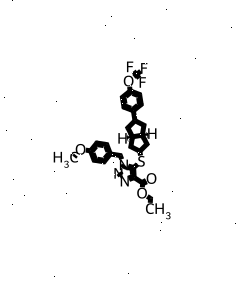 CCOC(=O)c1nnn(Cc2ccc(OC)cc2)c1SC1C[C@@H]2CC(c3ccc(OC(F)(F)F)cc3)C[C@@H]2C1